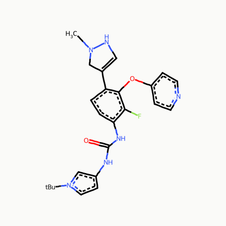 CN1CC(c2ccc(NC(=O)Nc3ccn(C(C)(C)C)c3)c(F)c2Oc2ccncc2)=CN1